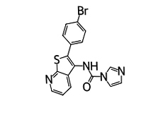 O=C(Nc1c(-c2ccc(Br)cc2)sc2ncccc12)n1ccnc1